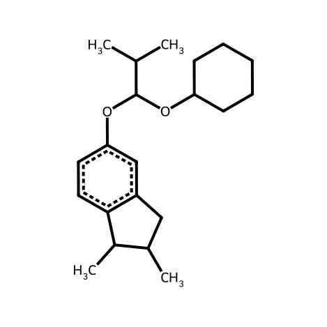 CC(C)C(Oc1ccc2c(c1)CC(C)C2C)OC1CCCCC1